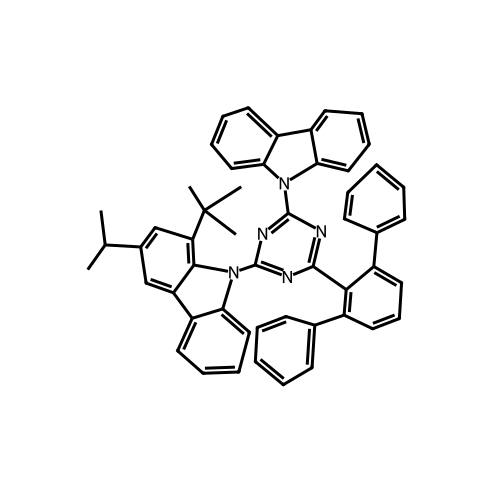 CC(C)c1cc(C(C)(C)C)c2c(c1)c1ccccc1n2-c1nc(-c2c(-c3ccccc3)cccc2-c2ccccc2)nc(-n2c3ccccc3c3ccccc32)n1